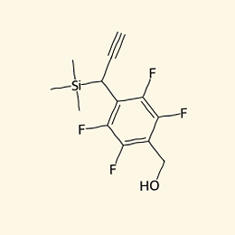 C#CC(c1c(F)c(F)c(CO)c(F)c1F)[Si](C)(C)C